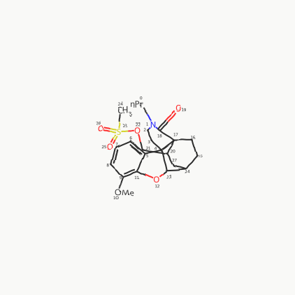 CCCN1CCC23c4cccc(OC)c4OC2C2CCC3(C1=O)C(COS(C)(=O)=O)C2